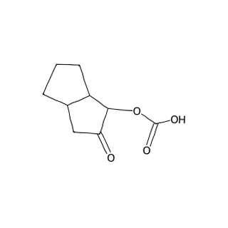 O=C(O)OC1C(=O)CC2CCCC21